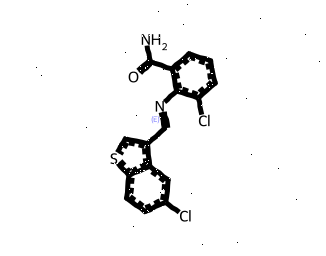 NC(=O)c1cccc(Cl)c1/N=C/c1csc2ccc(Cl)cc12